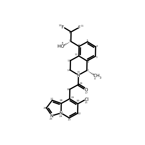 C[C@H]1c2cccc([C@H](O)C(F)F)c2CCN1C(=O)Cc1c(Cl)ccn2nccc12